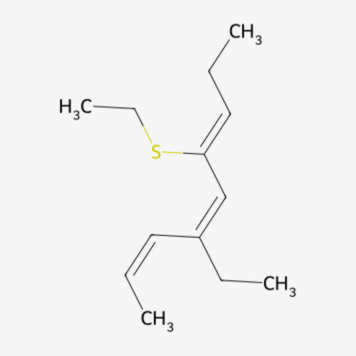 C\C=C/C(=C\C(=C\CC)SCC)CC